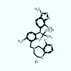 CC[C@@H]1CN(Cc2cc([C@@H](c3ccc4c(nnn4C)c3C)C(C)(C)C(=O)O)ccc2C)Cc2c(ccnc2F)O1